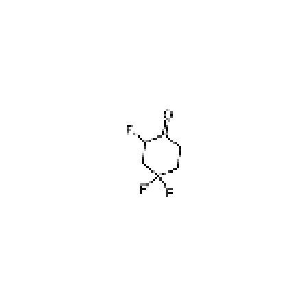 O=C1CCC(F)(F)CC1F